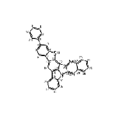 c1ccc(-c2ccc3c(c2)sc2c3cc3c4ccccc4n4c5nc6ccccc6nc5c2c34)cc1